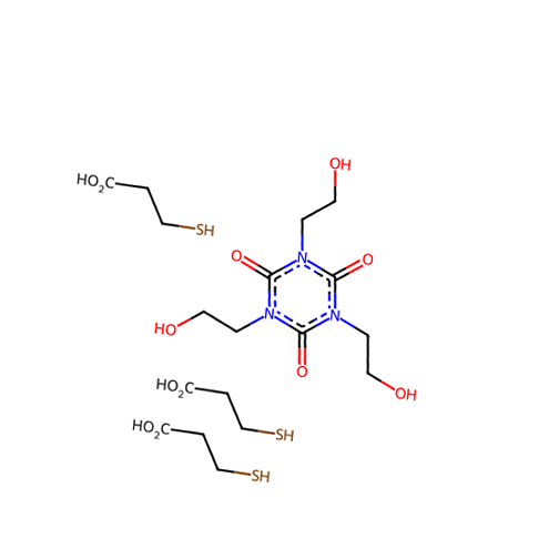 O=C(O)CCS.O=C(O)CCS.O=C(O)CCS.O=c1n(CCO)c(=O)n(CCO)c(=O)n1CCO